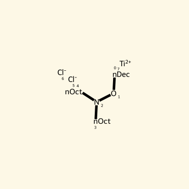 CCCCCCCCCCON(CCCCCCCC)CCCCCCCC.[Cl-].[Cl-].[Ti+2]